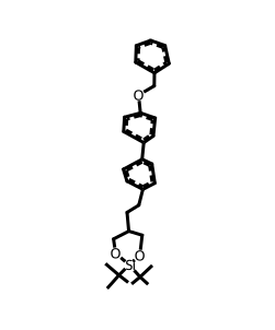 CC(C)(C)[Si]1(C(C)(C)C)OCC(CCc2ccc(-c3ccc(OCc4ccccc4)cc3)cc2)CO1